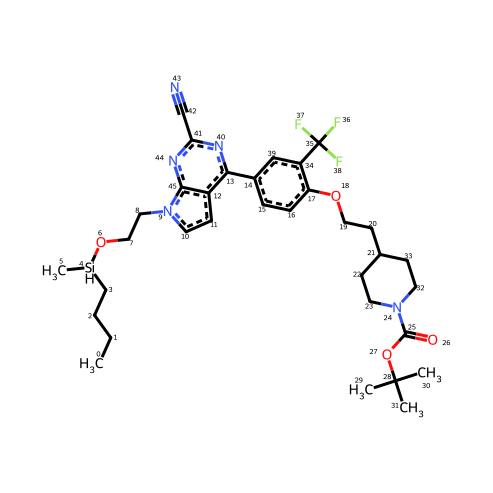 CCCC[SiH](C)OCCn1ccc2c(-c3ccc(OCCC4CCN(C(=O)OC(C)(C)C)CC4)c(C(F)(F)F)c3)nc(C#N)nc21